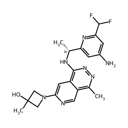 Cc1nnc(N[C@H](C)c2cc(N)cc(C(F)F)n2)c2cc(N3CC(C)(O)C3)ncc12